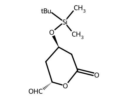 CC(C)(C)[Si](C)(C)O[C@H]1CC(=O)O[C@H](C=O)C1